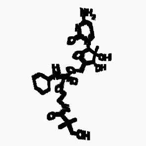 CC(C)(CO)C(=O)SCCOP(=O)(NC1CCCCC1)OC[C@H]1O[C@@H](n2ccc(N)nc2=O)[C@](C)(O)[C@@H]1O